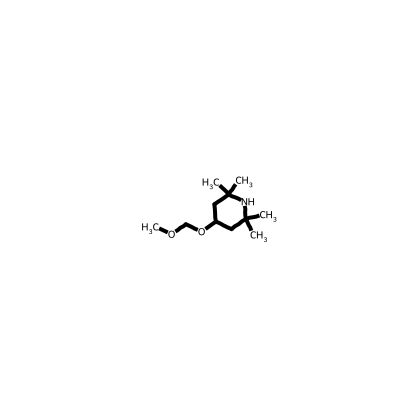 COCOC1CC(C)(C)NC(C)(C)C1